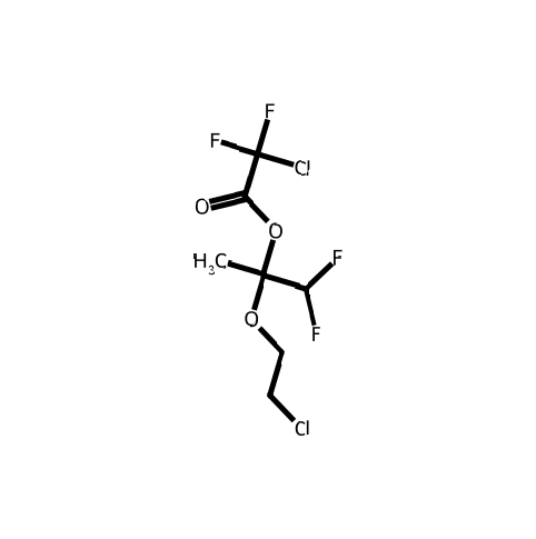 CC(OCCCl)(OC(=O)C(F)(F)Cl)C(F)F